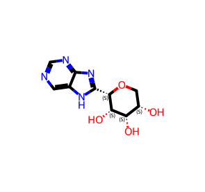 O[C@@H]1[C@H](O)[C@H](c2nc3ncncc3[nH]2)OC[C@@H]1O